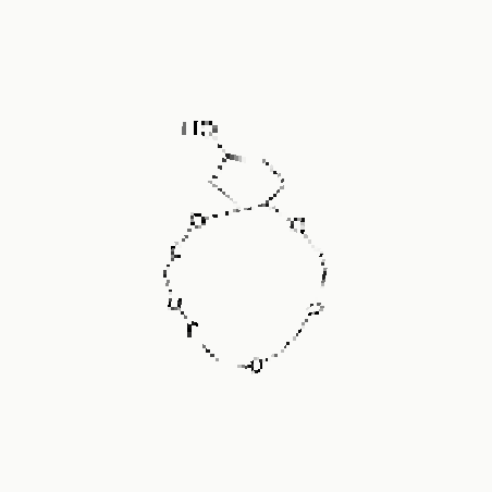 OC1CCC2OCCOCCOCCOCCOC2C1